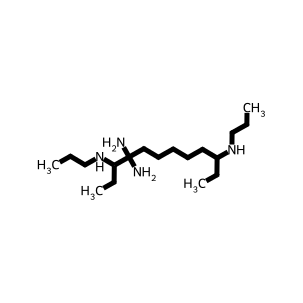 CCCNC(CC)CCCCCC(N)(N)C(CC)NCCC